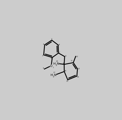 COc1ccccc1CC1(N)C(C)=CC=CC1N